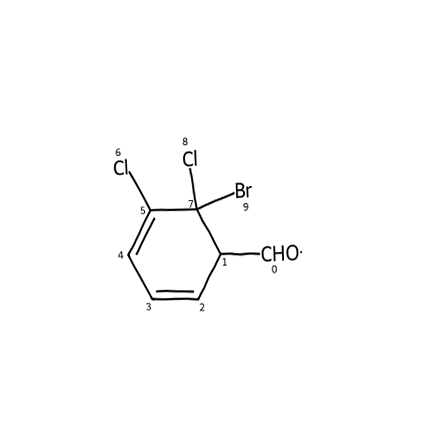 O=[C]C1C=CC=C(Cl)C1(Cl)Br